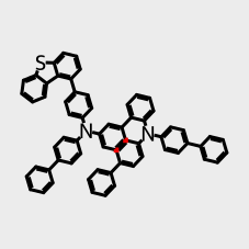 c1ccc(-c2ccc(N(c3ccc(-c4cccc5sc6ccccc6c45)cc3)c3cccc(-c4ccccc4N(c4ccc(-c5ccccc5)cc4)c4ccc(-c5ccccc5)cc4)c3)cc2)cc1